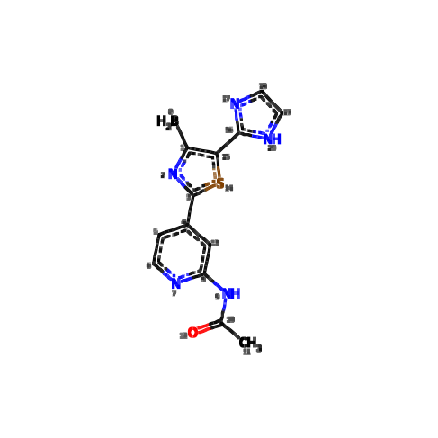 Bc1nc(-c2ccnc(NC(C)=O)c2)sc1-c1ncc[nH]1